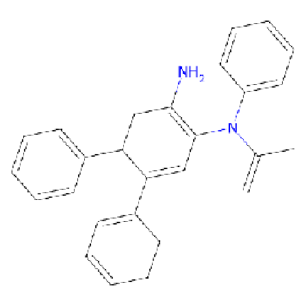 C=C(C)N(C1=C(N)CC(c2ccccc2)C(C2=CC=CCC2)=C1)c1ccccc1